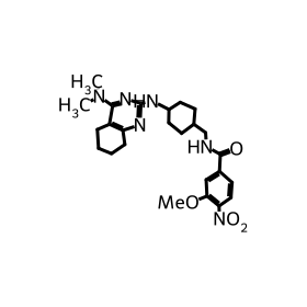 COc1cc(C(=O)NCC2CCC(Nc3nc4c(c(N(C)C)n3)CCCC4)CC2)ccc1[N+](=O)[O-]